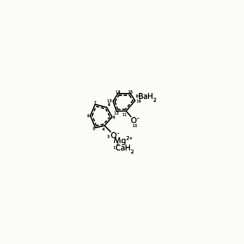 [BaH2].[CaH2].[Mg+2].[O-]c1ccccc1.[O-]c1ccccc1